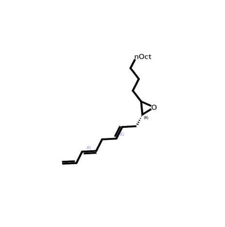 C=C/C=C/C/C=C/C[C@H]1OC1CCCCCCCCCCC